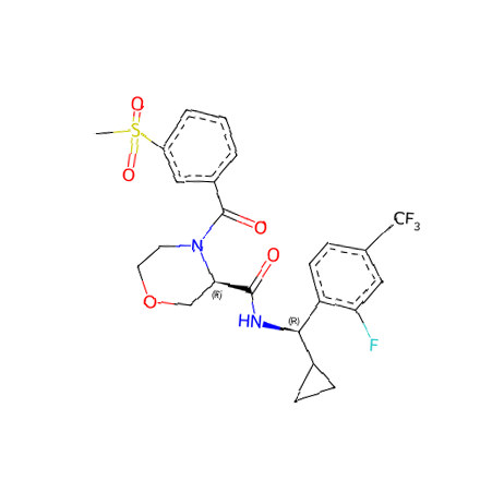 CS(=O)(=O)c1cccc(C(=O)N2CCOC[C@@H]2C(=O)N[C@@H](c2ccc(C(F)(F)F)cc2F)C2CC2)c1